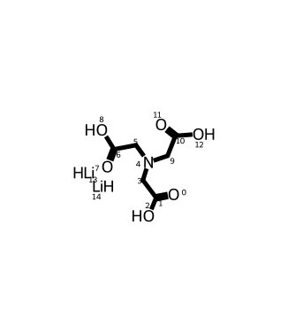 O=C(O)CN(CC(=O)O)CC(=O)O.[LiH].[LiH]